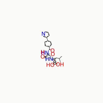 CC(C)C[C@H](NC(=O)[C@@H](NC(=O)c1ccc(-c2cccnc2)cc1)[C@@H](C)O)B(O)O